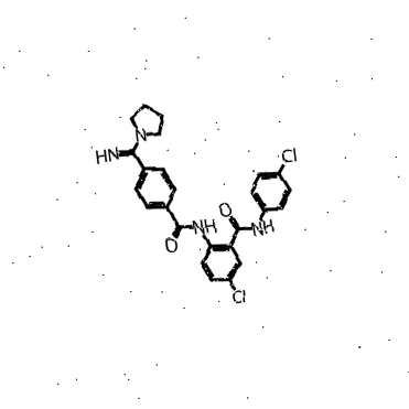 N=C(c1ccc(C(=O)Nc2ccc(Cl)cc2C(=O)Nc2ccc(Cl)cc2)cc1)N1CCCC1